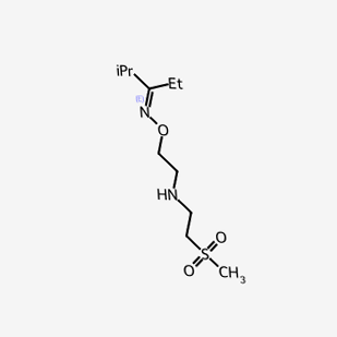 CC/C(=N\OCCNCCS(C)(=O)=O)C(C)C